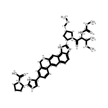 COC[C@H]1C[C@@H](c2nc3ccc4cc5c(cc4c3[nH]2)OCc2cc(-c3cnc([C@@H]4CCCN4C(=O)O)[nH]3)ccc2-5)N(C(=O)[C@@H](NC(=O)OC)C(C)OC)C1